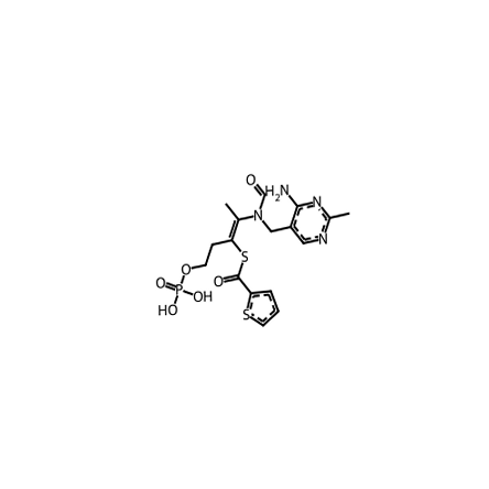 CC(=C(CCOP(=O)(O)O)SC(=O)c1cccs1)N(C=O)Cc1cnc(C)nc1N